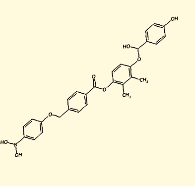 Cc1c(OC(=O)c2ccc(COc3ccc(B(O)O)cc3)cc2)ccc(OC(O)c2ccc(O)cc2)c1C